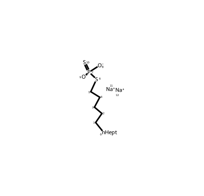 CCCCCCCCCCCCSP([O-])([O-])=S.[Na+].[Na+]